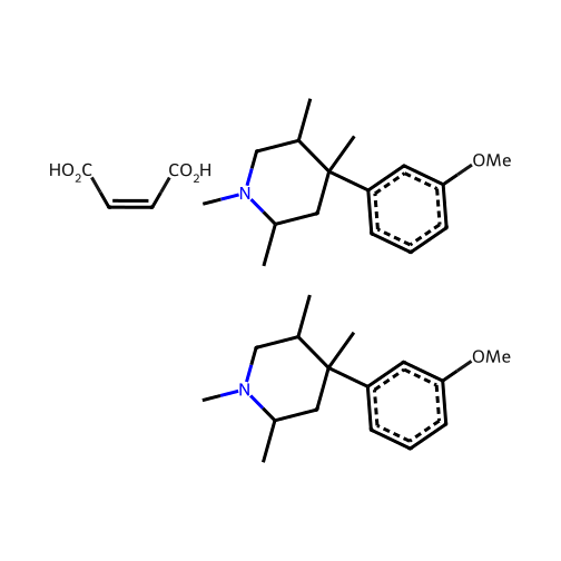 COc1cccc(C2(C)CC(C)N(C)CC2C)c1.COc1cccc(C2(C)CC(C)N(C)CC2C)c1.O=C(O)/C=C\C(=O)O